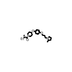 CCN(C)C(=O)N1CCC(Oc2ccc(OCCCN3CCCC3C)cc2)CC1